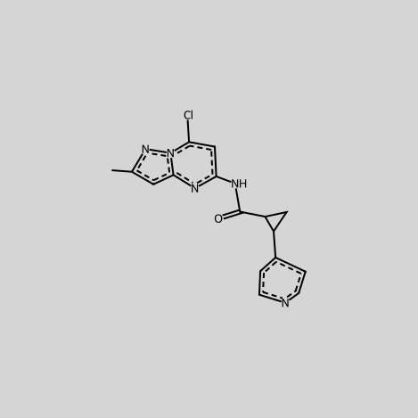 Cc1cc2nc(NC(=O)C3CC3c3ccncc3)cc(Cl)n2n1